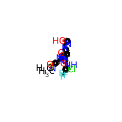 CN=[S@](C)(=O)c1ccc(-c2nc3n(CC(=O)Nc4ccc(C(F)(F)F)cc4Cl)c4c(c(=O)n3n2)C2(CC4)CCN(Cc3ncccc3O)CC2)cc1